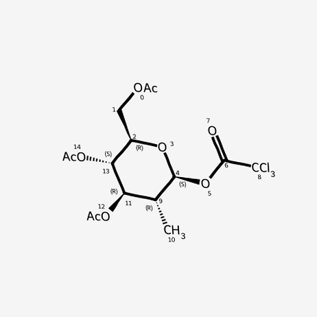 CC(=O)OC[C@H]1O[C@@H](OC(=O)C(Cl)(Cl)Cl)[C@H](C)[C@@H](OC(C)=O)[C@@H]1OC(C)=O